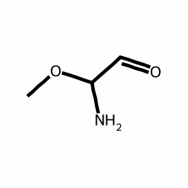 COC(N)C=O